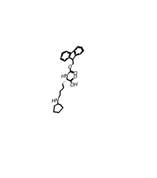 O=C(N[C@@H](CCCCNC1CCCCC1)C(=O)O)OCC1c2ccccc2-c2ccccc21